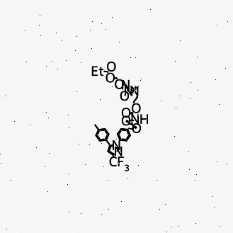 CCC(=O)OCO/N=[N+](\[O-])N(C)CCOC(=O)NS(=O)(=O)c1ccc(-n2nc(C(F)(F)F)cc2-c2ccc(C)cc2)cc1